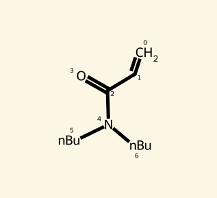 C=CC(=O)N(CCCC)CCCC